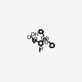 CCOc1cc(-c2ccc(C(=O)O)o2)cc(P(=O)(OCc2ccccc2)OCc2ccccc2)c1